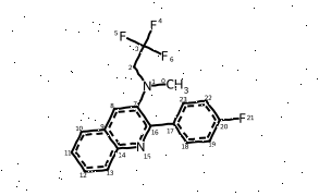 CN(CC(F)(F)F)c1cc2ccccc2nc1-c1ccc(F)cc1